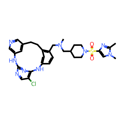 Cc1nc(S(=O)(=O)N2CCC(CN(C)Cc3ccc4cc3CCc3cncc(c3)Nc3ncc(Cl)c(n3)N4)CC2)cn1C